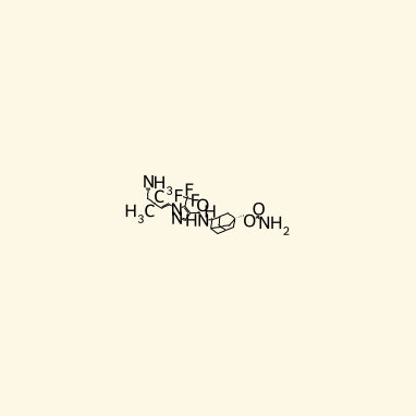 CC(C)(/C=C/n1ncc(C(=O)N[C@H]2C3CC4CC2C[C@](COC(N)=O)(C4)C3)c1C(F)(F)F)CC#N